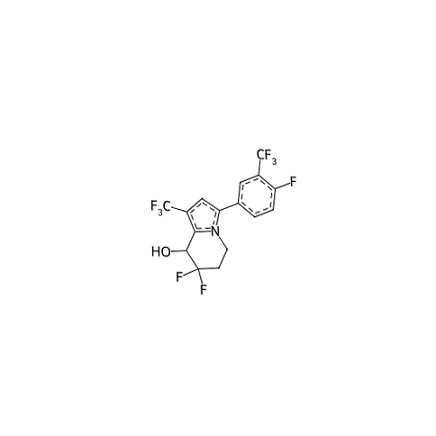 OC1c2c(C(F)(F)F)cc(-c3ccc(F)c(C(F)(F)F)c3)n2CCC1(F)F